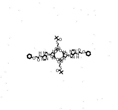 CC(C)(C)C(=O)SCCOP1(=O)OC[C@H]2O[C@@H](n3cnc4c(NC(=O)COc5ccccc5)ncnc43)C[C@H]2OP(=O)(OCCSC(=O)C(C)(C)C)OC[C@H]2O[C@@H](n3cnc4c(NC(=O)COc5ccccc5)ncnc43)C[C@H]2O1